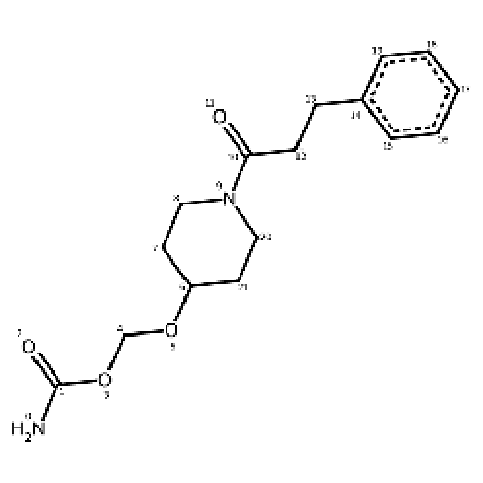 NC(=O)OCOC1CCN(C(=O)[CH]Cc2ccccc2)CC1